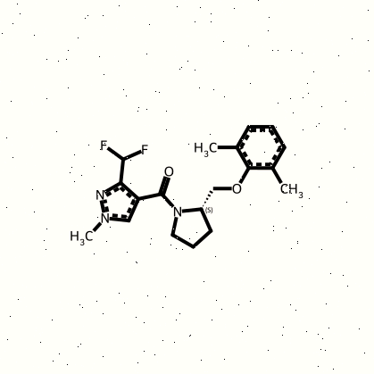 Cc1cccc(C)c1OC[C@@H]1CCCN1C(=O)c1cn(C)nc1C(F)F